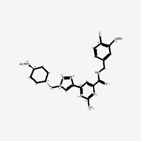 COc1cc(CNC(=O)c2cc(-c3cn(C[C@H]4CC[C@H](NC(C)=O)CC4)nn3)nc(C)n2)ccc1F